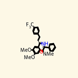 CNC(=O)[C@@H](N[C@@H](CCc1ccc(C(F)(F)F)cc1)c1ccc(OC)c(OC)c1)c1ccccc1